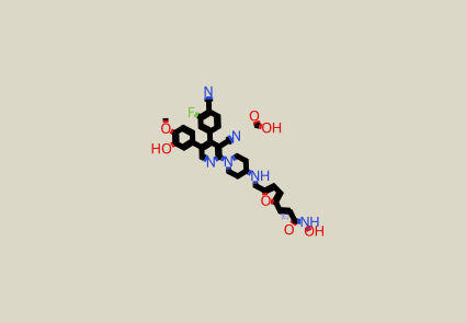 COc1ccc(-c2cnc(N3CCC(NCc4ccc(/C=C/C(=O)NO)o4)CC3)c(C#N)c2-c2ccc(C#N)c(F)c2)cc1O.O=CO